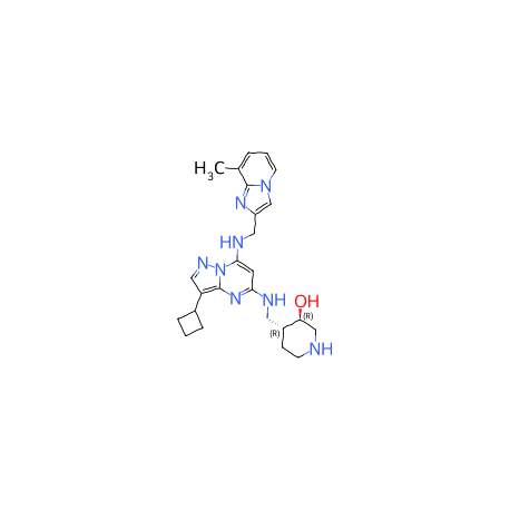 Cc1cccn2cc(CNc3cc(NC[C@H]4CCNC[C@@H]4O)nc4c(C5CCC5)cnn34)nc12